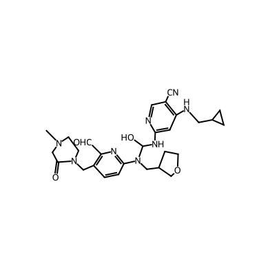 CN1CCN(Cc2ccc(N(CC3CCOC3)C(O)Nc3cc(NCC4CC4)c(C#N)cn3)nc2C=O)C(=O)C1